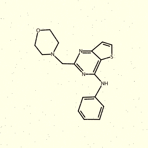 c1ccc(Nc2nc(CN3CCOCC3)nc3ccsc23)cc1